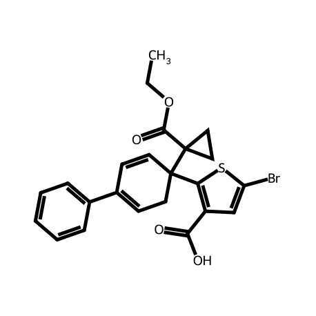 CCOC(=O)C1(C2(c3sc(Br)cc3C(=O)O)C=CC(c3ccccc3)=CC2)CC1